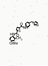 COc1ccc(NC(=O)c2ccc(C(=O)Nc3ccc(Cn4ccnc4)cc3)s2)c(C)c1